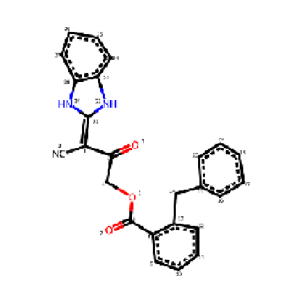 N#CC(C(=O)COC(=O)c1ccccc1Cc1ccccc1)=C1Nc2ccccc2N1